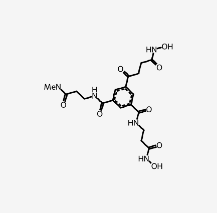 CNC(=O)CCNC(=O)c1cc(C(=O)CCC(=O)NO)cc(C(=O)NCCC(=O)NO)c1